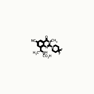 C[C@@H](NC(=O)O)c1cc(C#N)cc2c(=O)n(C)c(N3CCC(F)(F)CC3)nc12